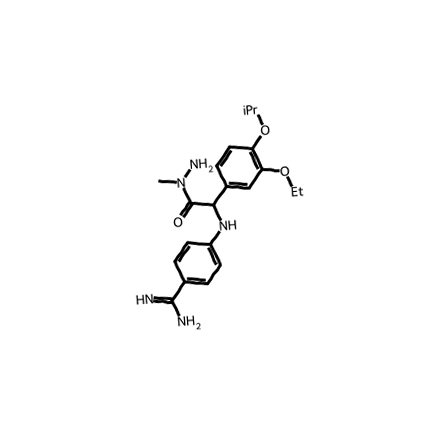 CCOc1cc(C(Nc2ccc(C(=N)N)cc2)C(=O)N(C)N)ccc1OC(C)C